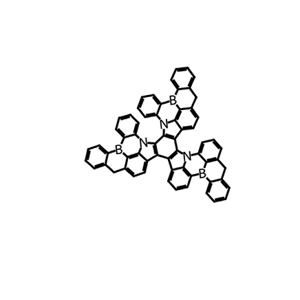 c1ccc2c(c1)Cc1cccc3c1B2c1cccc2c4c5c6ccc7c8c6n(c5c5c(c6ccc9c%10c6n5-c5ccccc5B%10c5ccccc5C9)c4n-3c12)-c1ccccc1B8c1ccccc1C7